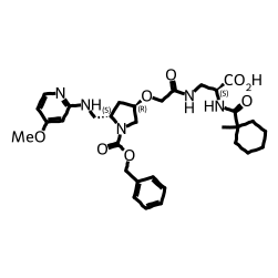 COc1ccnc(NC[C@@H]2C[C@@H](OCC(=O)NC[C@H](NC(=O)C3(C)CCCCC3)C(=O)O)CN2C(=O)OCc2ccccc2)c1